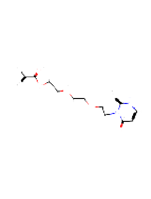 C=C(C)C(=O)OCCOCCOCCN1C(=C)NC=CC1=O